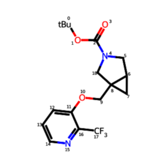 CC(C)(C)OC(=O)N1CC2CC2(COc2cccnc2C(F)(F)F)C1